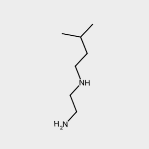 CC(C)CCNCCN